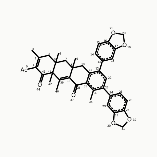 CC(=O)C1=C(C)CC2(C)CC3(C)Cc4c(-c5ccc6c(c5)OCO6)cc(-c5ccc6c(c5)OCO6)c(C)c4C(=O)C3=C(C)C2(C)C1=O